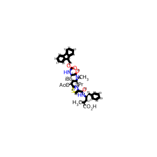 CCC(C)[C@H](NC(=O)OCC1c2ccccc2-c2ccccc21)C(=O)N(C)[C@H](C[C@H](OC(C)=O)c1nc(C(=O)N[C@@H](Cc2ccccc2)C[C@H](C)C(=O)O)cs1)C(C)C